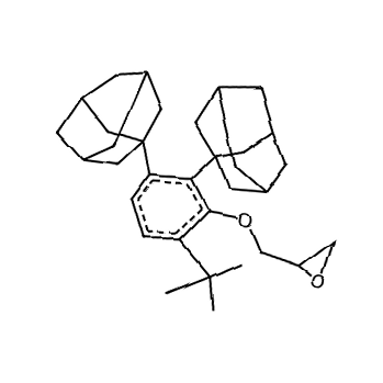 CC(C)(C)c1ccc(C23CC4CC(CC(C4)C2)C3)c(C23CC4CC(CC(C4)C2)C3)c1OCC1CO1